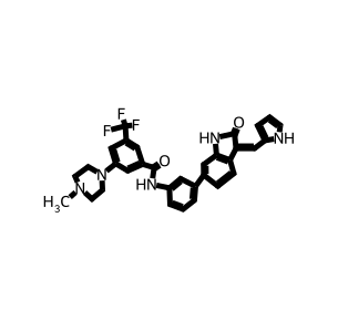 CN1CCN(c2cc(C(=O)Nc3cccc(-c4ccc5c(c4)NC(=O)C5=Cc4ccc[nH]4)c3)cc(C(F)(F)F)c2)CC1